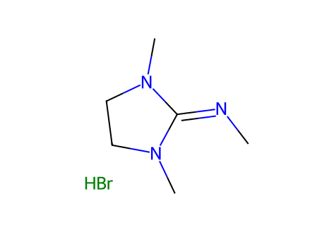 Br.CN=C1N(C)CCN1C